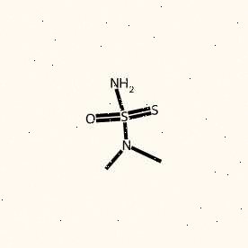 CN(C)S(N)(=O)=S